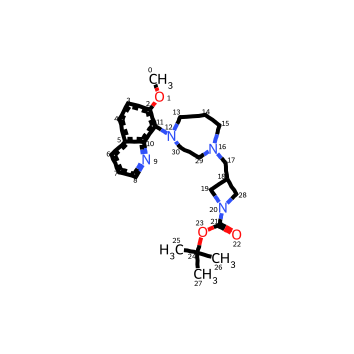 COc1ccc2cccnc2c1N1CCCN(CC2CN(C(=O)OC(C)(C)C)C2)CC1